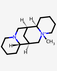 C[N+]12CCCC[C@@H]1[C@H]1C[C@@H](C2)[C@@H]2CCCCN2C1